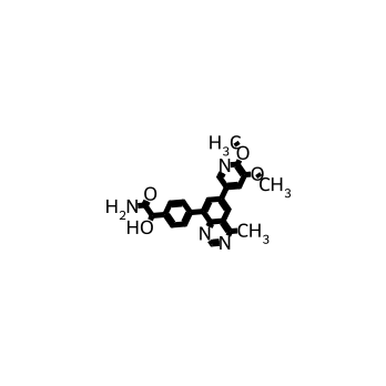 COc1cc(-c2cc(-c3ccc(C(O)C(N)=O)cc3)c3ncnc(C)c3c2)cnc1OC